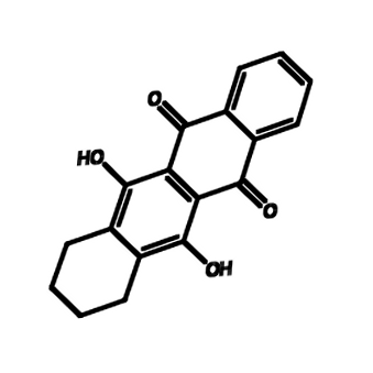 O=C1c2ccccc2C(=O)c2c(O)c3c(c(O)c21)CCCC3